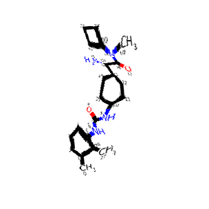 Cc1cccc(NC(=O)NC2CCC([C@H](N)C(=O)N(C)C3CCC3)CC2)c1C